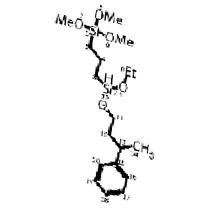 CCO[SiH]([CH]CC[Si](OC)(OC)OC)OCCC(C)c1ccccc1